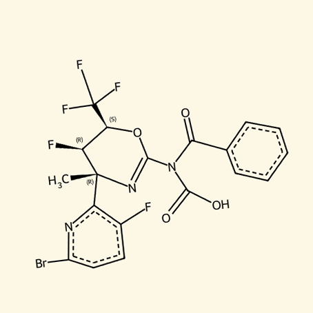 C[C@]1(c2nc(Br)ccc2F)N=C(N(C(=O)O)C(=O)c2ccccc2)O[C@H](C(F)(F)F)[C@@H]1F